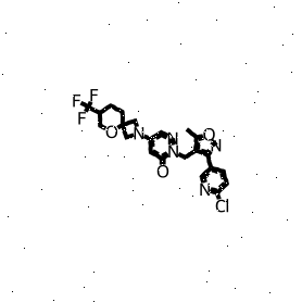 Cc1onc(-c2ccc(Cl)nc2)c1Cn1ncc(N2CC3(CCC(C(F)(F)F)CO3)C2)cc1=O